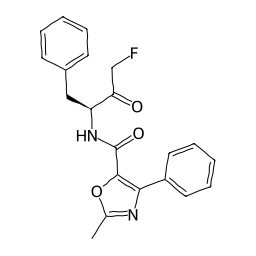 Cc1nc(-c2ccccc2)c(C(=O)N[C@@H](Cc2ccccc2)C(=O)CF)o1